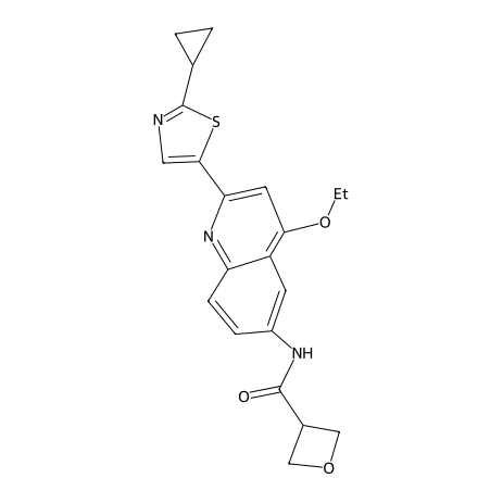 CCOc1cc(-c2cnc(C3CC3)s2)nc2ccc(NC(=O)C3COC3)cc12